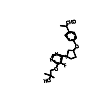 CC(C=O)c1ccc(OC2CCN(c3ncnc(OCC(C)(C)O)c3F)C2)cc1